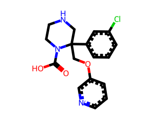 O=C(O)N1CCNCC1(COc1cccnc1)c1cccc(Cl)c1